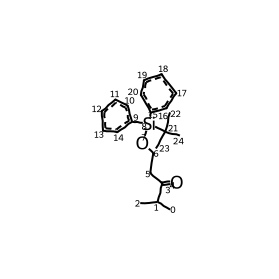 CC(C)C(=O)CCO[Si](c1ccccc1)(c1ccccc1)C(C)(C)C